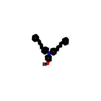 CCOc1ccc(N(c2ccc(/C=C/C=C/c3ccccc3)cc2)c2ccc(/C=C/C=C/c3ccccc3)cc2)cc1